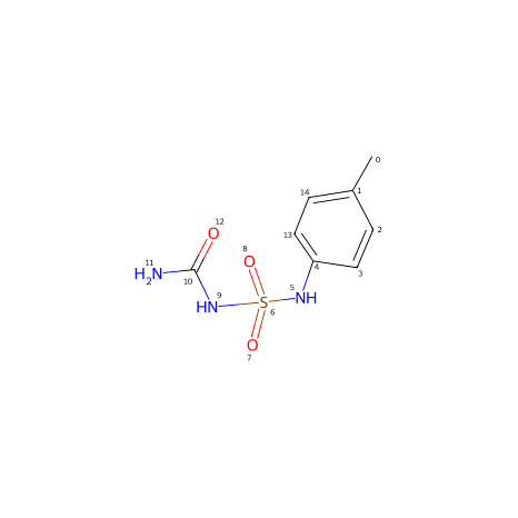 Cc1ccc(NS(=O)(=O)NC(N)=O)cc1